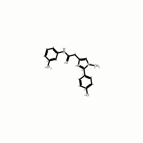 Cn1cc(CC(=O)Nc2cccc(C(F)(F)F)c2)nc1-c1ccc(Cl)cc1